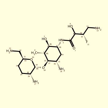 C[C@@H]1[C@@H](O)[C@H](NC(=O)C(O)[C@@H](F)CN)C[C@H](N)[C@H]1O[C@H]1O[C@H](CN)CC[C@H]1N